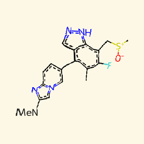 CNc1cn2cc(-c3c(C)c(F)c(C[S+](C)[O-])c4[nH]ncc34)ccc2n1